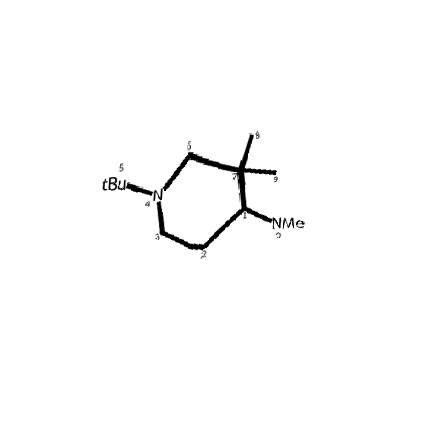 CNC1CCN(C(C)(C)C)CC1(C)C